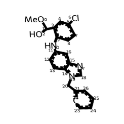 COC(O)c1cc(Cl)ccc1Nc1ccc2c(c1)ncn2Cc1ccccc1